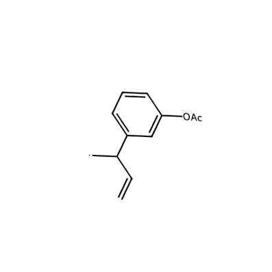 [CH2]C(C=C)c1cccc(OC(C)=O)c1